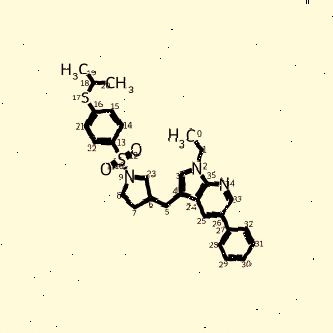 CCn1cc(CC2CCN(S(=O)(=O)c3ccc(SC(C)C)cc3)C2)c2cc(-c3ccccc3)cnc21